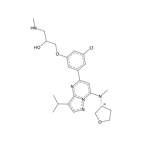 CNCC(O)COc1cc(Cl)cc(-c2cc(N(C)[C@@H]3CCOC3)n3ncc(C(C)C)c3n2)c1